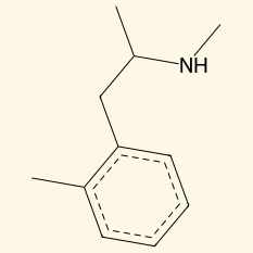 CNC(C)Cc1ccccc1C